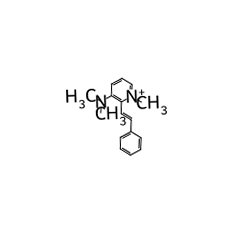 CN(C)c1ccc[n+](C)c1C=Cc1ccccc1